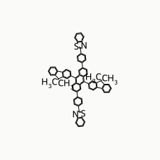 CC1(C)c2ccccc2-c2ccc(-c3c4ccc(-c5ccc(-c6nc7ccccc7s6)cc5)cc4c(-c4ccc5c(c4)C(C)(C)c4ccccc4-5)c4ccc(-c5ccc(-c6nc7ccccc7s6)cc5)cc34)cc21